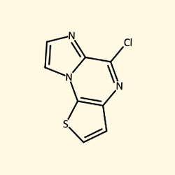 Clc1nc2ccsc2n2ccnc12